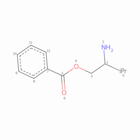 CC(C)C(N)COC(=O)c1ccccc1